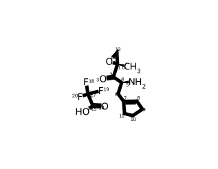 C[C@]1(C(=O)[C@@H](N)CC2=CCCC2)CO1.O=C(O)C(F)(F)F